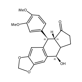 COc1ccc([C@@H]2c3cc4c(cc3[C@H](O)C3CCC(=O)[C@H]32)OCO4)cc1OC